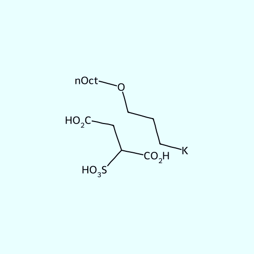 CCCCCCCCOCC[CH2][K].O=C(O)CC(C(=O)O)S(=O)(=O)O